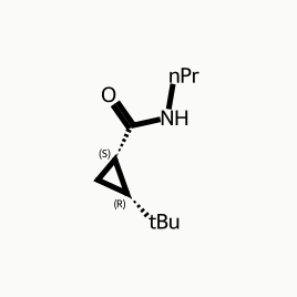 CCCNC(=O)[C@H]1C[C@H]1C(C)(C)C